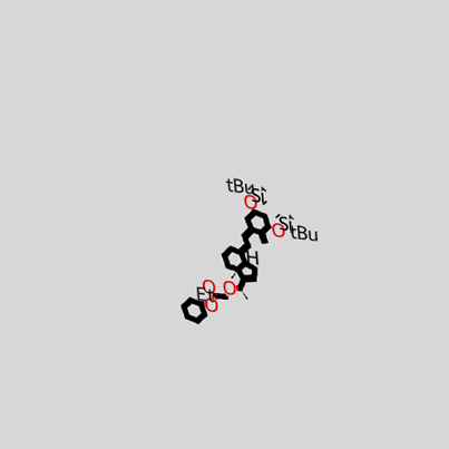 C=C1C(=CC=C2CCC[C@]3(C)C([C@H](C)OCC(=O)OC4(CC)CCCCC4)=CC[C@@H]23)C[C@@H](O[Si](C)(C)C(C)(C)C)C[C@@H]1O[Si](C)(C)C(C)(C)C